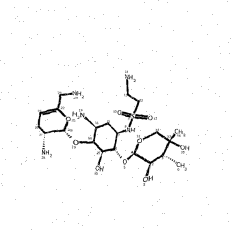 C[C@@H]1[C@@H](O)[C@@H](O[C@H]2[C@H](NS(=O)(=O)CCN)C[C@H](N)C(O[C@H]3OC(CN)=CC[C@H]3N)[C@@H]2O)OC[C@]1(C)O